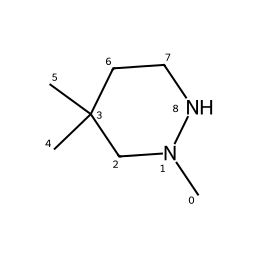 CN1CC(C)(C)CCN1